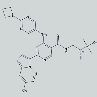 CC(C)(O)[C@H](F)CNC(=O)c1cnc(-c2ccc3cc(C#N)cnn23)cc1Nc1cnc(N2CCC2)nc1